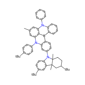 Cc1cc2c3c(c1)N(c1ccc(C(C)(C)C)cc1)c1cc(N4c5ccc(C(C)(C)C)cc5C5(C)CC(C(C)(C)C)CCC45C)ccc1B3c1ccccc1N2c1ccccc1